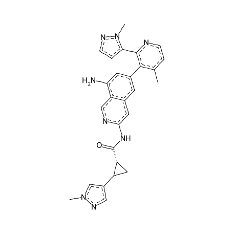 Cc1ccnc(-c2ccnn2C)c1-c1cc(N)c2cnc(NC(=O)[C@@H]3CC3c3cnn(C)c3)cc2c1